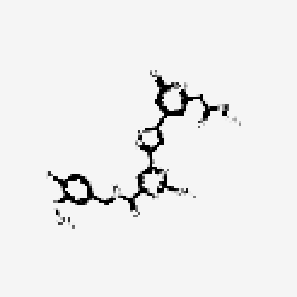 CNC(=O)Cc1cc(C2CC(c3cc(C(=O)NCc4ccc(F)c(OC)c4)nc(C)n3)=NO2)cc(=O)[nH]1